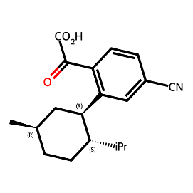 CC(C)[C@@H]1CC[C@@H](C)C[C@H]1c1cc(C#N)ccc1C(=O)C(=O)O